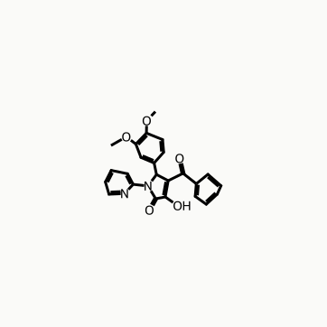 COc1ccc(C2C(C(=O)c3ccccc3)=C(O)C(=O)N2c2ccccn2)cc1OC